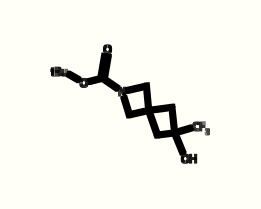 CC(C)(C)OC(=O)N1CC2(C1)CC(O)(C(F)(F)F)C2